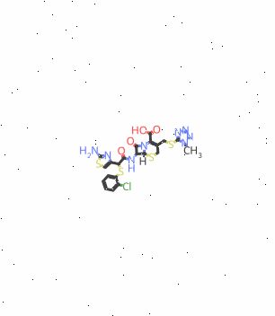 Cn1nnnc1SCC1=C(C(=O)O)N2C(=O)C(NC(=O)C(Sc3ccccc3Cl)c3csc(N)n3)[C@H]2SC1